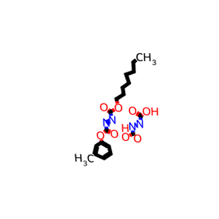 CCCCCCCCOC(=O)N=NC(=O)Oc1cccc(C)c1.O=C(O)N=NC(=O)O